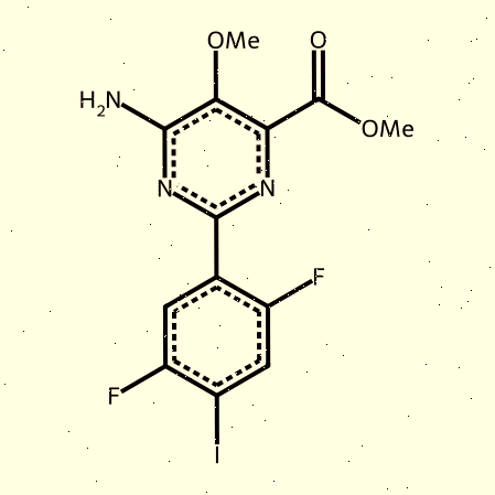 COC(=O)c1nc(-c2cc(F)c(I)cc2F)nc(N)c1OC